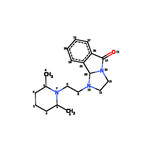 CC1CCCC(C)N1CCN1CCN2C(=O)c3ccccc3C12